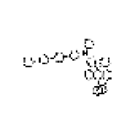 c1ccc(-c2ccc(-c3ccc(-c4ccc(N(c5ccccc5)c5ccc(C6(c7ccccc7)c7ccccc7C7(c8ccccc8)c8ccccc8-c8cccc6c87)cc5)cc4)cc3)cc2)cc1